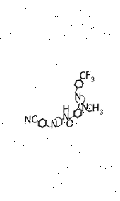 Cn1c2c(c3cc(C(=O)NC4CCN(Cc5ccc(C#N)cc5)CC4)ccc31)CN(Cc1ccc(C(F)(F)F)cc1)CC2